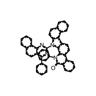 O=c1c2ccccc2c2ccc3c4c5ccccc5ccc4n(-c4nc(-c5ccccc5)c5ccc6ccccc6c5n4)c3c2n1-c1ccccc1